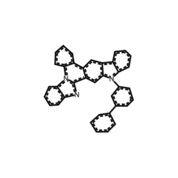 c1ccc(-c2cccc(-n3c4ccccc4c4cc5c6ccccc6n6c7ccccc7nc6c5cc43)c2)cc1